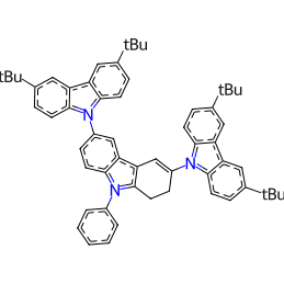 CC(C)(C)c1ccc2c(c1)c1cc(C(C)(C)C)ccc1n2C1=Cc2c(n(-c3ccccc3)c3ccc(-n4c5ccc(C(C)(C)C)cc5c5cc(C(C)(C)C)ccc54)cc23)CC1